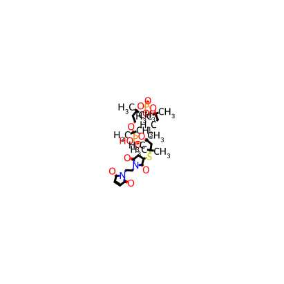 CCC(C)(C)OP(=O)(O)OC(C)(C)CCOC(C)(C)P(=O)(O)OC(C)(C)CC(C)(C)SC1CC(=O)N(CCN2C(=O)C=CC2=O)C1=O